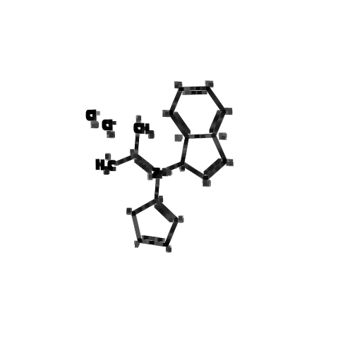 C[C](C)=[Zr+2]([C]1=CC=CC1)[CH]1C=Cc2ccccc21.[Cl-].[Cl-]